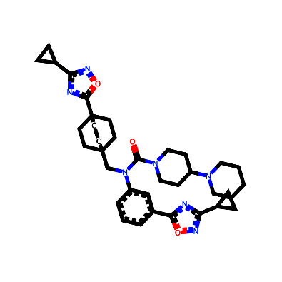 O=C(N1CCC(N2CCCCC2)CC1)N(CC12CCC(c3nc(C4CC4)no3)(CC1)CC2)c1cccc(-c2nc(C3CC3)no2)c1